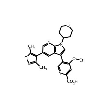 CCOc1cc(C(=O)O)ncc1-c1cn(C2CCOCC2)c2ncc(-c3c(C)noc3C)cc12